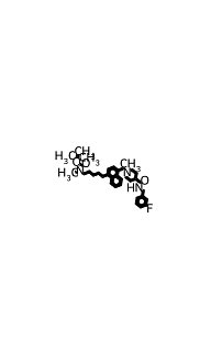 CC(c1ccc(CCCCCN(C)C(=O)OC(C)(C)C)c2ccccc12)N1CCC(C(=O)NCc2cccc(F)c2)CC1